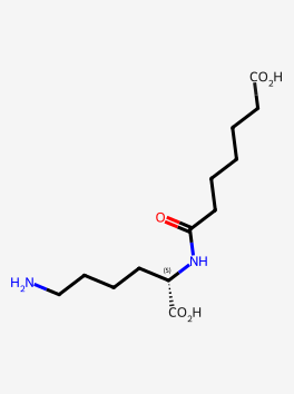 NCCCC[C@H](NC(=O)CCCCCC(=O)O)C(=O)O